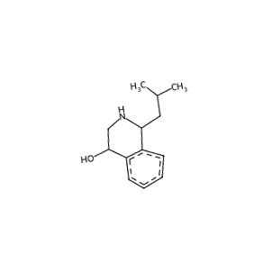 CC(C)CC1NCC(O)c2ccccc21